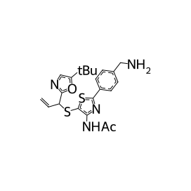 C=CC(Sc1sc(-c2ccc(CN)cc2)nc1NC(C)=O)c1ncc(C(C)(C)C)o1